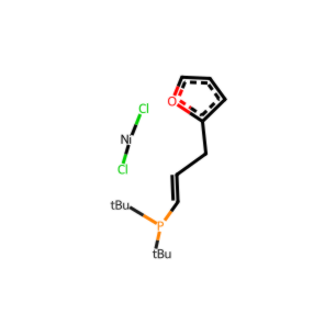 CC(C)(C)P(C=CCc1ccco1)C(C)(C)C.[Cl][Ni][Cl]